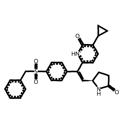 O=C1CC[C@H](C=C(c2ccc(S(=O)(=O)Cc3ccccc3)cc2)c2ccc(C3CC3)c(=O)[nH]2)N1